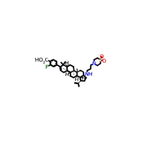 C=C(C)[C@@H]1CC[C@]2(NCCCN3CCS(=O)(=O)CC3)CC[C@]3(C)[C@H](CC[C@@H]4[C@@]5(C)CC=C(c6ccc(C(=O)O)c(F)c6)C(C)(C)[C@@H]5CC[C@]43C)[C@@H]12